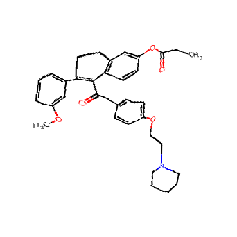 CCC(=O)Oc1ccc2c(c1)CCC(c1cccc(OC)c1)=C2C(=O)c1ccc(OCCN2CCCCC2)cc1